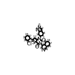 Cn1cc2ccc(-n3c(=O)n(-c4cncc5ccccc45)c(=O)c4sc(-c5ccccc5Cl)cc43)cc2n1